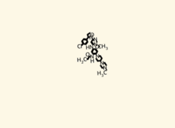 C=CC(=O)Nc1cc(Nc2cc(N3OCCC3c3ccc(Cl)cc3)ncn2)c(OC)cc1N1CCC(N2CCN(CC)CC2)CC1